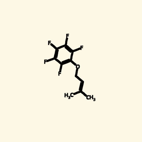 CC(C)=CCOc1c(F)c(F)c(F)c(F)c1F